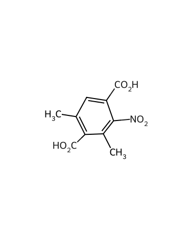 Cc1cc(C(=O)O)c([N+](=O)[O-])c(C)c1C(=O)O